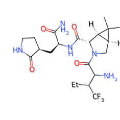 CCC(C(N)C(=O)N1C[C@H]2[C@@H]([C@H]1C(=O)N[C@@H](C[C@@H]1CCNC1=O)C(N)=O)C2(C)C)C(F)(F)F